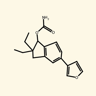 CCC1(CC)Cc2cc(-c3ccoc3)ccc2C1OC(N)=O